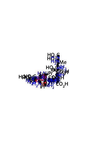 CC(C)C[C@H](N)C(=O)OC(=O)[C@@H](N)COC(=O)[C@@H](N)C(C)C.CC[C@H](C)[C@H](N)C(=O)O.CSCC[C@H](N)C(=O)O.C[C@@H](OC(=O)[C@@H](N)CS)[C@H](N)C(=O)O.NC(=O)C[C@H](N)C(=O)O.NCC(=O)O.NCC(=O)O.NCC(=O)O.N[C@@H](CS)C(=O)O.N[C@@H](Cc1c[nH]cn1)C(=O)O.O=C(O)[C@@H]1CCCN1.O=C(O)[C@@H]1CCCN1.O=C(O)[C@@H]1CCCN1